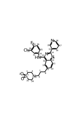 O=S1(=O)CCN(CCCc2ccc3nc(-c4cccnc4)nc(Nc4ccc(F)c(Cl)c4)c3c2)CC1